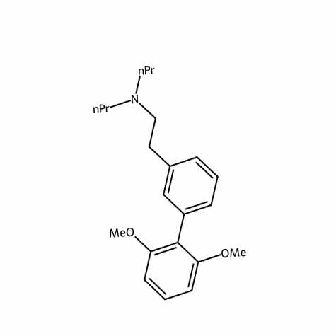 CCCN(CCC)CCc1cccc(-c2c(OC)cccc2OC)c1